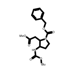 COC(=O)CC1C(NC(=O)OC(C)(C)C)CCN1C(=O)OCc1ccccc1